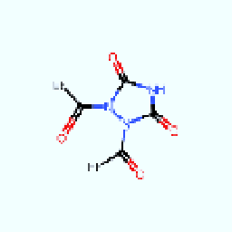 CCC(=O)n1c(=O)[nH]c(=O)n1C(=O)CC